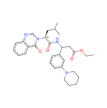 CCOC(=O)CC(NC(=O)[C@H](CC(C)C)n1cnc2ccccc2c1=O)c1cccc(N2CCCCC2)c1